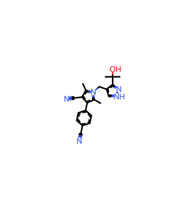 Cc1c(C#N)c(-c2ccc(C#N)cc2)c(C)n1Cc1c[nH]nc1C(C)(C)O